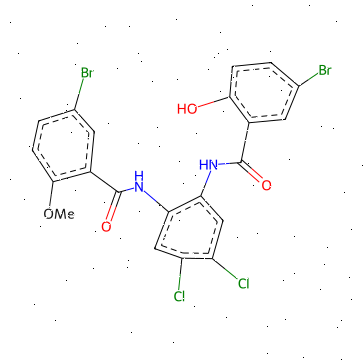 COc1ccc(Br)cc1C(=O)Nc1cc(Cl)c(Cl)cc1NC(=O)c1cc(Br)ccc1O